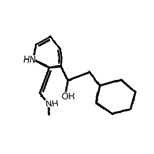 CN/C=C1/NC=CC=C1C(O)CC1CCCCC1